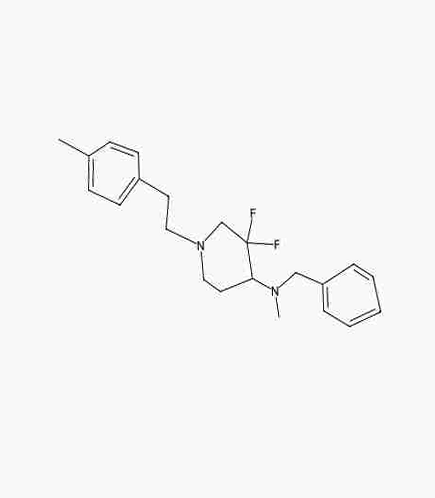 Cc1ccc(CCN2CCC(N(C)Cc3ccccc3)C(F)(F)C2)cc1